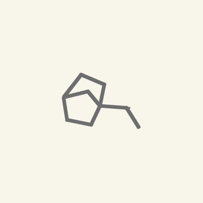 C[CH]C12CCC(CC1)C2